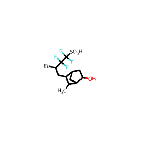 CCC(CC1C2CC(O)C(C2)C1C)C(F)(F)C(F)(F)S(=O)(=O)O